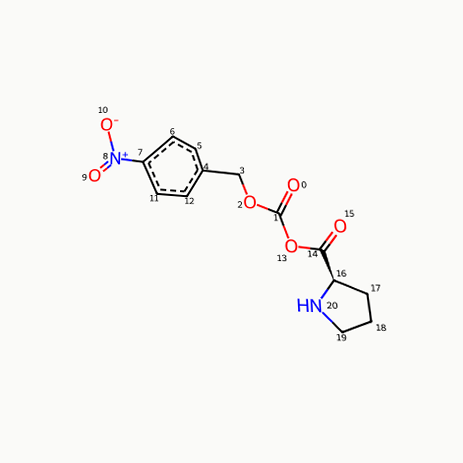 O=C(OCc1ccc([N+](=O)[O-])cc1)OC(=O)[C@H]1CCCN1